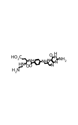 NCCNC(=O)C(CCC(=O)O)NC(=O)c1ccc(NCc2cnc3nc(N)[nH]c(=O)c3n2)cc1